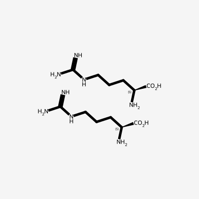 N=C(N)NCCC[C@H](N)C(=O)O.N=C(N)NCCC[C@H](N)C(=O)O